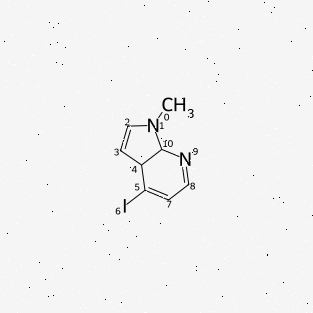 CN1C=CC2C(I)=CC=NC21